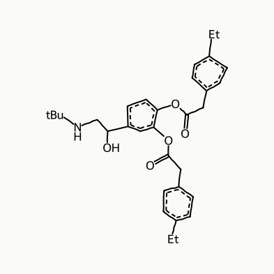 CCc1ccc(CC(=O)Oc2ccc(C(O)CNC(C)(C)C)cc2OC(=O)Cc2ccc(CC)cc2)cc1